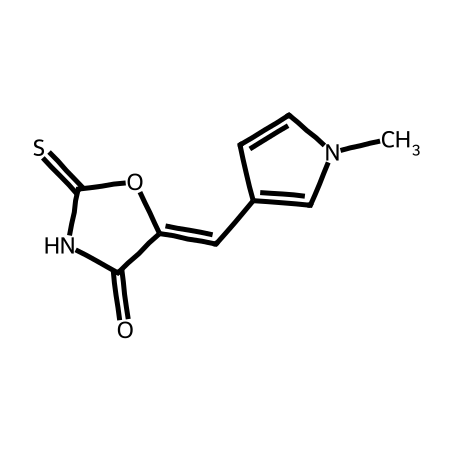 Cn1ccc(/C=C2\OC(=S)NC2=O)c1